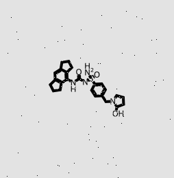 NS(=O)(=NC(=O)Nc1c2c(cc3c1CCC3)CCC2)c1ccc(CN2CCCC2O)cc1